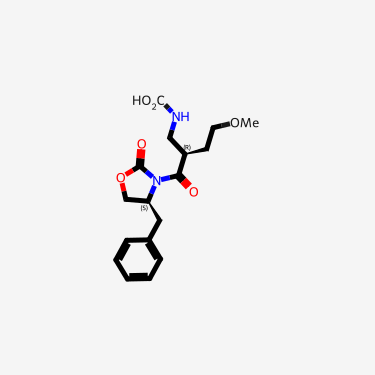 COCC[C@H](CNC(=O)O)C(=O)N1C(=O)OC[C@@H]1Cc1ccccc1